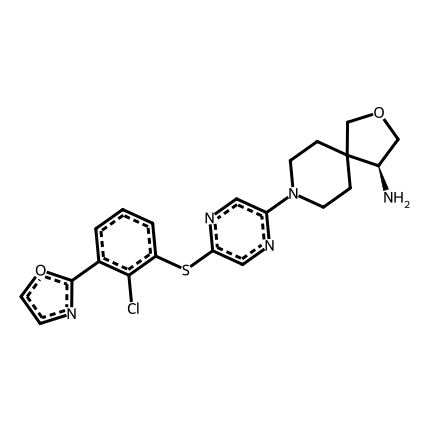 N[C@@H]1COCC12CCN(c1cnc(Sc3cccc(-c4ncco4)c3Cl)cn1)CC2